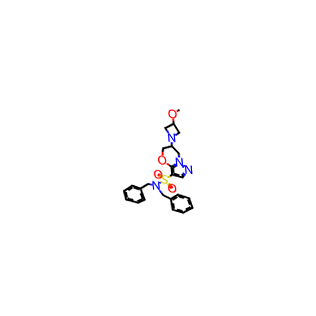 COC1CN(C2COc3c(S(=O)(=O)N(Cc4ccccc4)Cc4ccccc4)cnn3C2)C1